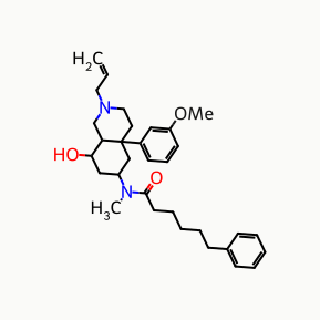 C=CCN1CCC2(c3cccc(OC)c3)CC(N(C)C(=O)CCCCCc3ccccc3)CC(O)C2C1